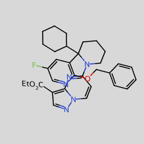 CCOC(=O)c1cnn2ccc(N3CCCCC3(c3cc(F)cnc3OCc3ccccc3)C3CCCCC3)nc12